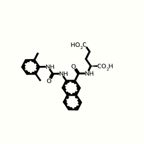 Cc1cccc(C)c1NC(=O)Nc1cc2ccccc2cc1C(=O)N[C@@H](CCC(=O)O)C(=O)O